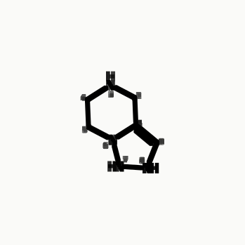 C1=C2CNCCN2NN1